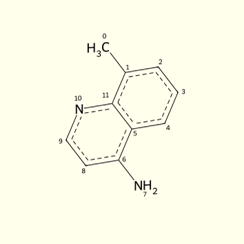 Cc1cccc2c(N)ccnc12